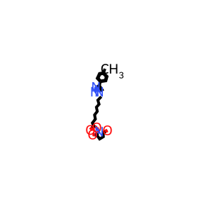 Cc1ccc(-c2cn(CCCCCCCCC(=O)ON3C(=O)CCC3=O)nn2)cc1